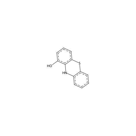 Oc1cccc2c1Nc1ccccc1S2